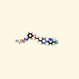 CON=Cc1cccc(OCCCC2CCN(c3ccc(C(F)(F)F)nn3)CC2)c1